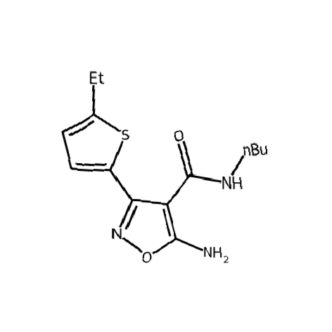 CCCCNC(=O)c1c(-c2ccc(CC)s2)noc1N